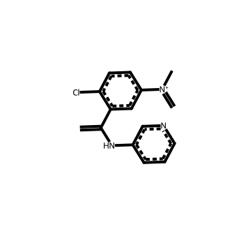 C=C(Nc1cccnc1)c1cc([N+](=C)C)ccc1Cl